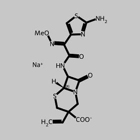 C=CC1(C(=O)[O-])CS[C@@H]2C(NC(=O)C(=NOC)c3csc(N)n3)C(=O)N2C1.[Na+]